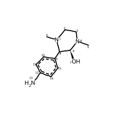 CN1CCN(C)[C@@H](O)C1c1ccc(N)cc1